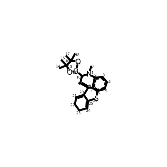 CN1c2cccc3c2C(=CC1B1OC(C)(C)C(C)(C)O1)C1=CCCC=C1S3